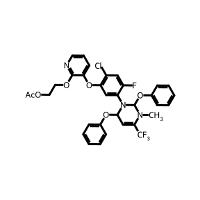 CC(=O)OCCOc1ncccc1Oc1cc(N2C(Oc3ccccc3)C=C(C(F)(F)F)N(C)C2Oc2ccccc2)c(F)cc1Cl